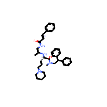 CC(CNC(=O)/C=C/c1ccccc1)N[C@@H](CCCN1CCCCC1)C(=O)N(C)CC(c1ccccc1)c1ccccc1